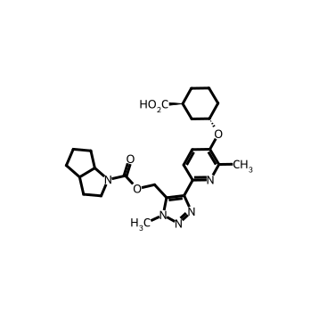 Cc1nc(-c2nnn(C)c2COC(=O)N2CCC3CCCC32)ccc1O[C@H]1CCC[C@H](C(=O)O)C1